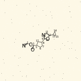 N#CCC(=O)C1CCC(c2ncc(C3CC3)o2)C1